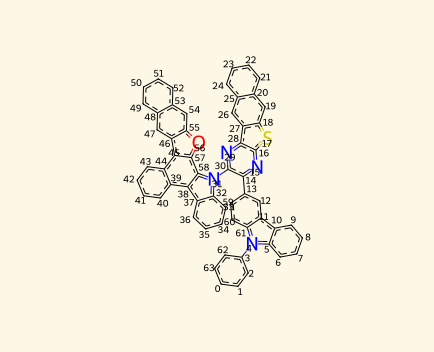 c1ccc(-n2c3ccccc3c3cc(-c4nc5sc6cc7ccccc7cc6c5nc4-n4c5ccccc5c5c6ccccc6c6c7cc8ccccc8cc7oc6c54)ccc32)cc1